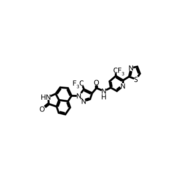 O=C(Nc1cnc(-c2nccs2)c(C(F)(F)F)c1)c1cnn(-c2ccc3c4c(cccc24)C(=O)N3)c1C(F)(F)F